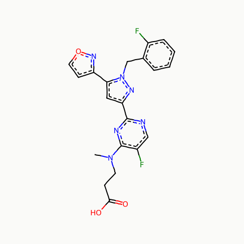 CN(CCC(=O)O)c1nc(-c2cc(-c3ccon3)n(Cc3ccccc3F)n2)ncc1F